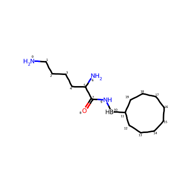 NCCCCC(N)C(=O)NBC1CCCCCCCC1